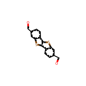 O=Cc1ccc2c(c1)sc1c3ccc(C=O)cc3sc21